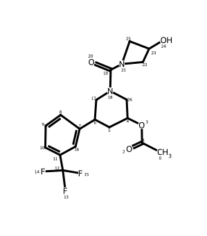 CC(=O)OC1CC(c2cccc(C(F)(F)F)c2)CN(C(=O)N2CC(O)C2)C1